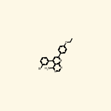 CCOc1ccc(-c2cc(-c3cccc(Br)c3)c3c(N)ncnc3n2)cc1